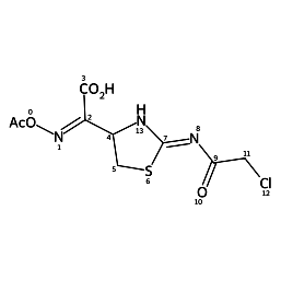 CC(=O)ON=C(C(=O)O)C1CSC(=NC(=O)CCl)N1